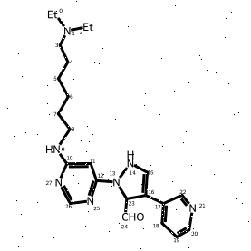 CCN(CC)CCCCCCNc1cc(N2NC=C(c3cccnc3)C2C=O)ncn1